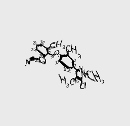 Cc1cc(-c2nn(C)c(Cl)c2C)ccc1OCc1c(C)cccc1OC#N